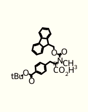 CN(C(=O)OCC1c2ccccc2-c2ccccc21)[C@H](Cc1ccc(C(=O)OC(C)(C)C)cc1)C(=O)O